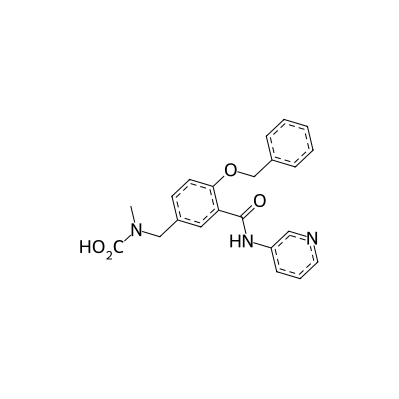 CN(Cc1ccc(OCc2ccccc2)c(C(=O)Nc2cccnc2)c1)C(=O)O